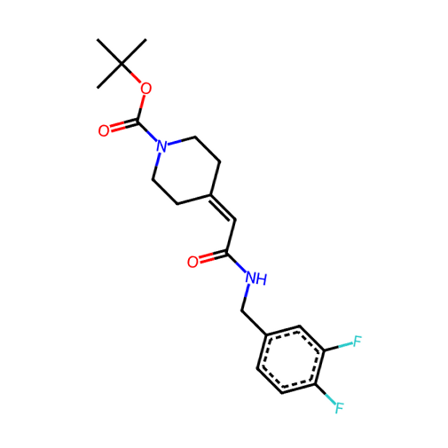 CC(C)(C)OC(=O)N1CCC(=CC(=O)NCc2ccc(F)c(F)c2)CC1